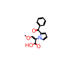 COC=C(C(=O)O)n1cccc1C(=O)c1ccccc1